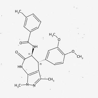 COc1ccc([C@@H]2c3c(C)nn(C)c3NC(=O)[C@H]2NC(=O)c2cccc(C)c2)cc1OC